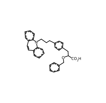 O=C(O)C(Cc1ccc(CCCN2c3ccccc3C=Cc3ccccc32)cc1)OCc1ccccc1